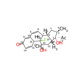 CC(=O)[C@@]1(O)[C@H](C)C[C@H]2[C@@H]3C=CC4=CC(=O)C=C[C@]4(C)[C@@]3(F)[C@@H](O)C[C@@]21C